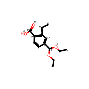 CCOC(OCC)c1ccc(C(=O)O)c(CC)c1